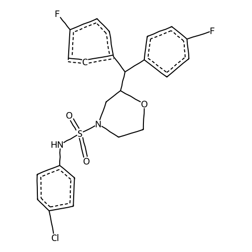 O=S(=O)(Nc1ccc(Cl)cc1)N1CCOC(C(c2ccc(F)cc2)c2ccc(F)cc2)C1